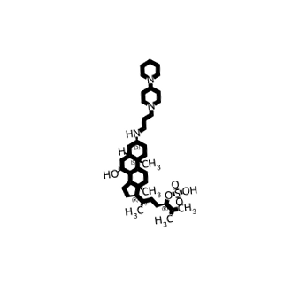 CC(C)[C@@H](CC[C@@H](C)[C@H]1CCC2C3C(CC[C@@]21C)[C@@]1(C)CC[C@H](NCCCN2CCC(N4CCCCC4)CC2)C[C@@H]1C[C@H]3O)OS(=O)(=O)O